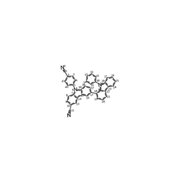 N#Cc1ccc(-n2c3ccc(C#N)cc3c3cc(-c4cccc5c6ccccc6n(-c6ccccc6)c45)ccc32)cc1